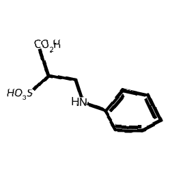 O=C(O)C(CNc1ccccc1)S(=O)(=O)O